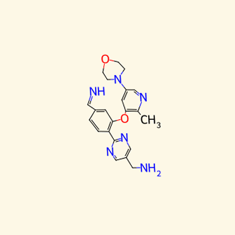 Cc1ncc(N2CCOCC2)cc1Oc1cc(C=N)ccc1-c1ncc(CN)cn1